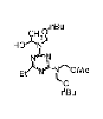 CCCCOCN(COC)c1nc(CC)nc(N(COCCCC)C(C)O)n1